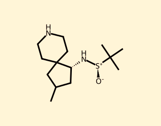 CC1C[C@@H](N[S@+]([O-])C(C)(C)C)C2(CCNCC2)C1